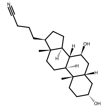 C[C@]12CC[C@@H](O)C[C@H]1C[C@H](O)[C@@H]1[C@@H]2CC[C@]2(C)[C@@H](CCCC#N)CC[C@@H]12